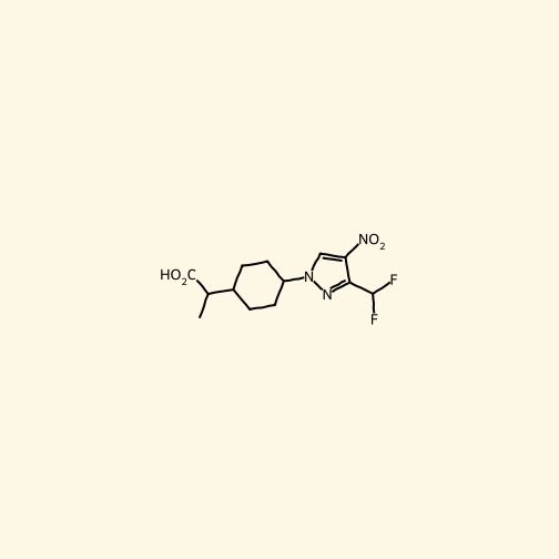 CC(C(=O)O)C1CCC(n2cc([N+](=O)[O-])c(C(F)F)n2)CC1